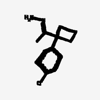 C/C(=N\N)C1(c2ccc(Cl)cc2)CCC1